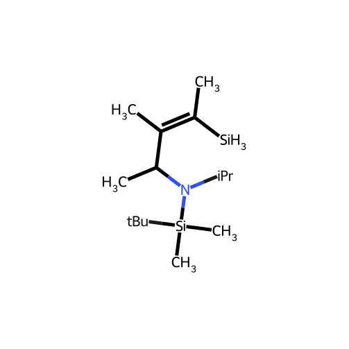 CC([SiH3])=C(C)C(C)N(C(C)C)[Si](C)(C)C(C)(C)C